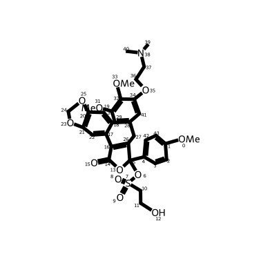 COc1ccc(C2(OS(=O)(=O)CCO)OC(=O)C(c3ccc4c(c3)OCO4)=C2Cc2cc(OC)c(OC)c(OCCN(C)C)c2)cc1